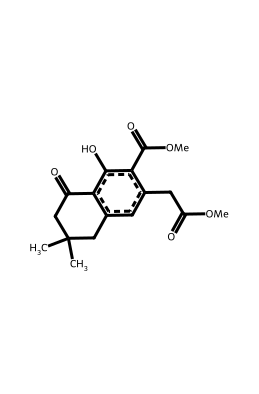 COC(=O)Cc1cc2c(c(O)c1C(=O)OC)C(=O)CC(C)(C)C2